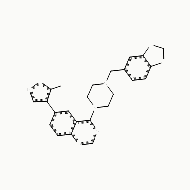 Cc1n[nH]cc1-c1ccc2ncnc(N3CCN(Cc4ccc5c(c4)OCO5)CC3)c2c1